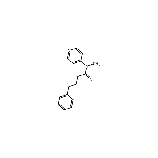 CN(C(=O)CCCc1ccccc1)c1ccncc1